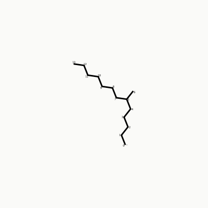 [CH2]CCCCC(C)CCCCCCC